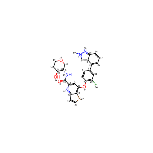 Cn1cc2c(-c3ccc(Oc4cc(C(=O)N[C@H]5COCC[C@@H]5O)nc5ccsc45)c(F)c3)cccc2n1